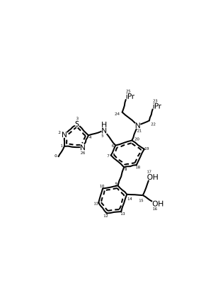 Cc1nsc(Nc2cc(-c3ccccc3C(O)O)ccc2N(CC(C)C)CC(C)C)n1